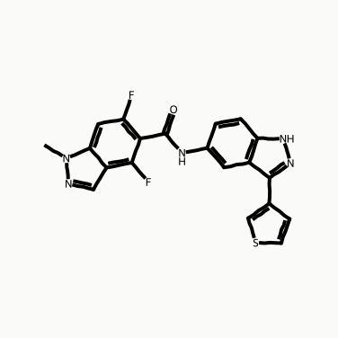 Cn1ncc2c(F)c(C(=O)Nc3ccc4[nH]nc(-c5ccsc5)c4c3)c(F)cc21